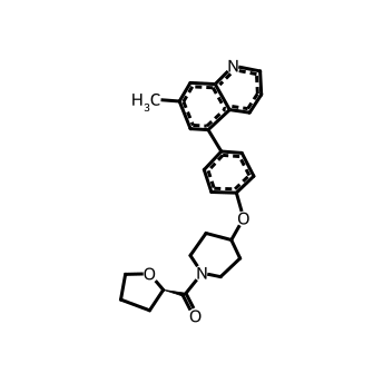 Cc1cc(-c2ccc(OC3CCN(C(=O)[C@H]4CCCO4)CC3)cc2)c2cccnc2c1